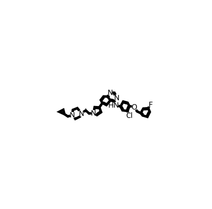 Fc1cccc(COc2ccc(Nc3ncnc4ccc(-c5ccn(C[CH]N6CCN(CC7CC7)CC6)c5)cc34)cc2Cl)c1